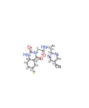 C[C@H](NC(=O)Cn1c(=O)[nH]c2ccc(F)cc2c1=O)c1ncc(C#N)cn1